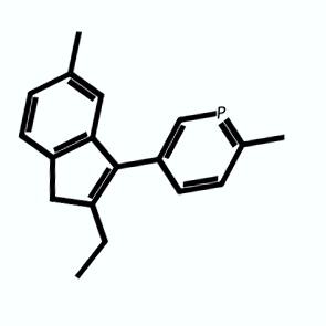 CCC1=C(c2ccc(C)pc2)c2cc(C)ccc2C1